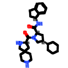 O=C(N[C@@H]1CCc2ccccc21)[C@H]1C[C@H](C2CCCCC2)CN1C(=O)[C@H]1CC2(CCNCC2)CN1